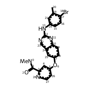 CNC(=O)c1cc(Oc2ccc3nc(Nc4ccc(Br)c(C)c4)ncc3c2)ccn1